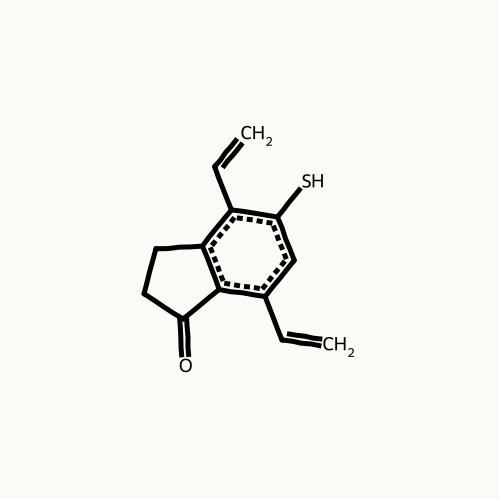 C=Cc1cc(S)c(C=C)c2c1C(=O)CC2